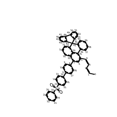 C/C=C\C=C/c1cc(-c2ccc(-c3ccc(S(=O)(=O)c4ccccc4)cc3)cc2)c2cccc3c2c1-c1ccccc1C31c2ccccc2-c2ccccc21